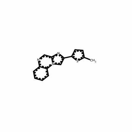 Cc1ccc(-c2cn3c(cnc4ccccc43)n2)s1